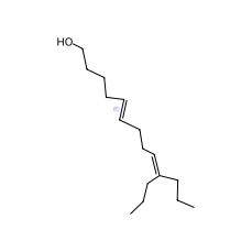 CCCC(=CCC/C=C/CCCCO)CCC